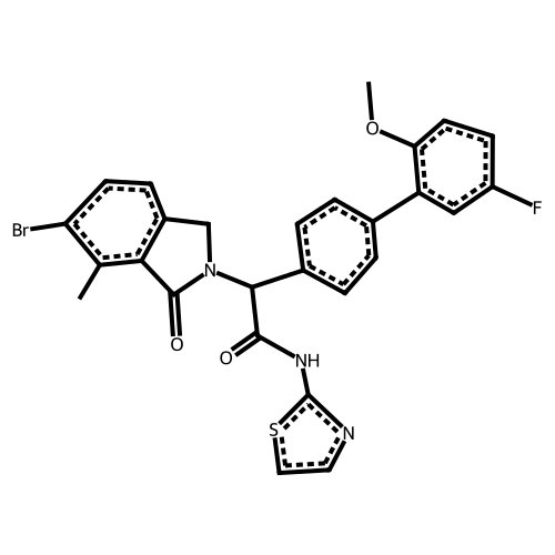 COc1ccc(F)cc1-c1ccc(C(C(=O)Nc2nccs2)N2Cc3ccc(Br)c(C)c3C2=O)cc1